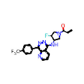 C=CC(=O)N1C[C@H](F)[C@H](Nc2nnc(-c3ccc(C(F)(F)F)cc3)c3ncccc23)C1